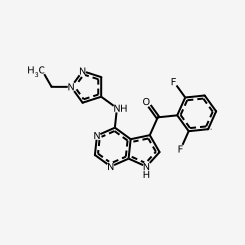 CCn1cc(Nc2ncnc3[nH]cc(C(=O)c4c(F)[c]ccc4F)c23)cn1